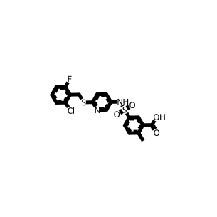 Cc1ccc(S(=O)(=O)Nc2ccc(SCc3c(F)cccc3Cl)nc2)cc1C(=O)O